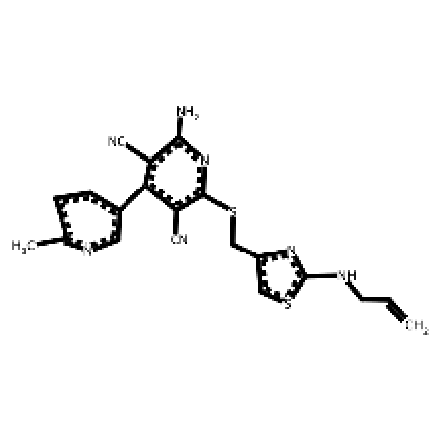 C=CCNc1nc(CSc2nc(N)c(C#N)c(-c3ccc(C)nc3)c2C#N)cs1